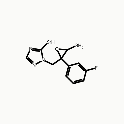 BC1OC1(Cn1ncn[c]1[SrH])c1cccc(F)c1